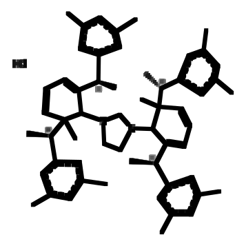 Cc1cc(C)cc([C@@H](C)C2(C)C=CC=C([C@H](C)c3cc(C)cc(C)c3)C2N2CCN(C3C([C@H](C)c4cc(C)cc(C)c4)=CC=CC3(C)[C@H](C)c3cc(C)cc(C)c3)C2)c1.Cl